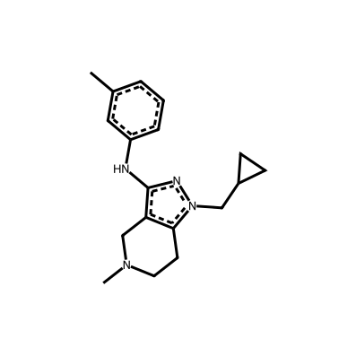 Cc1cccc(Nc2nn(CC3CC3)c3c2CN(C)CC3)c1